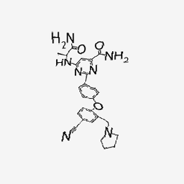 C[C@H](Nc1cc(C(N)=O)nc(-c2ccc(Oc3ccc(C#N)cc3CN3CCCC3)cc2)n1)C(N)=O